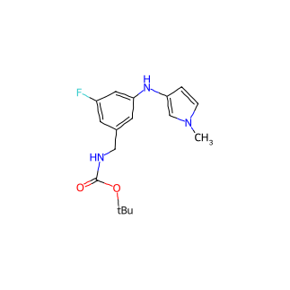 Cn1ccc(Nc2cc(F)cc(CNC(=O)OC(C)(C)C)c2)c1